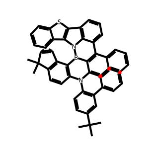 CC(C)(C)c1ccc(N2c3ccc4c(c3B3c5c2cc2ccccc2c5-c2cccc5c6sc7ccccc7c6n3c25)-c2ccccc2C4(C)C)c(-c2ccccc2)c1